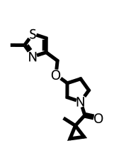 Cc1nc(COC2CCN(C(=O)C3(C)CC3)C2)cs1